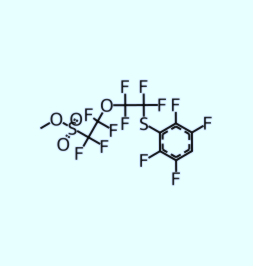 COS(=O)(=O)C(F)(F)C(F)(F)OC(F)(F)C(F)(F)Sc1c(F)c(F)cc(F)c1F